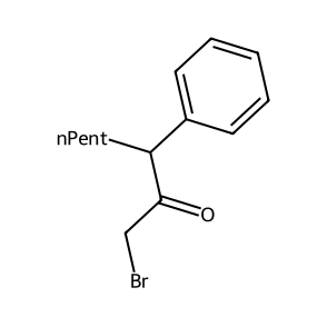 CCCCCC(C(=O)CBr)c1ccccc1